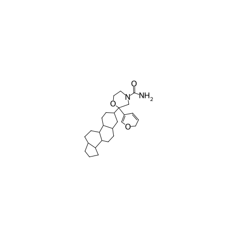 NC(=O)N1CCOC(C2=COCC=C2)(C2CCC3C(CCC4C5CCCC5CCC34)C2)C1